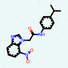 CC(C)c1ccc(NC(=O)Cn2cnc3cccc([N+](=O)[O-])c32)cc1